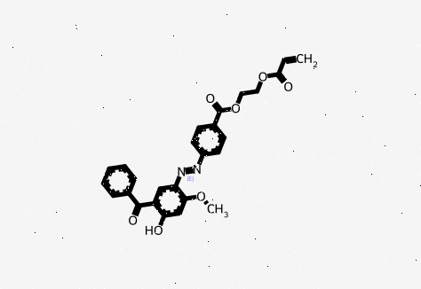 C=CC(=O)OCCOC(=O)c1ccc(/N=N/c2cc(C(=O)c3ccccc3)c(O)cc2OC)cc1